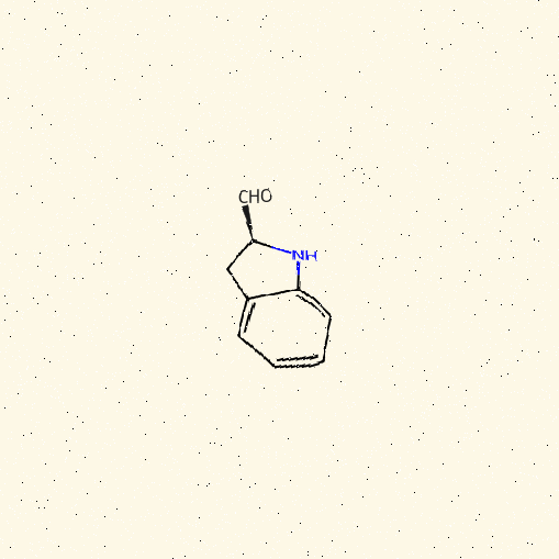 O=C[C@@H]1Cc2ccccc2N1